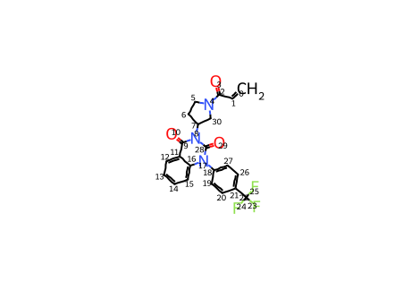 C=CC(=O)N1CCC(n2c(=O)c3ccccc3n(-c3ccc(C(F)(F)F)cc3)c2=O)C1